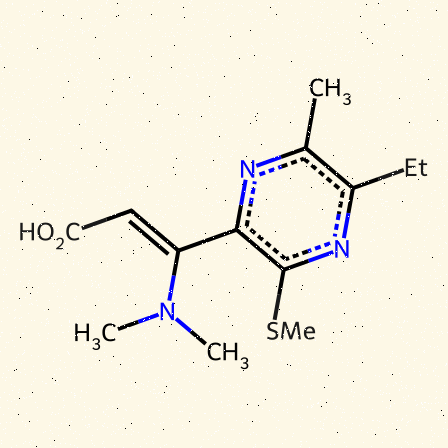 CCc1nc(SC)c(/C(=C/C(=O)O)N(C)C)nc1C